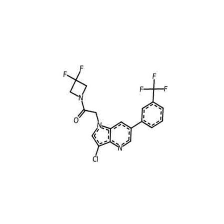 O=C(Cn1cc(Cl)c2ncc(-c3cccc(C(F)(F)F)c3)cc21)N1CC(F)(F)C1